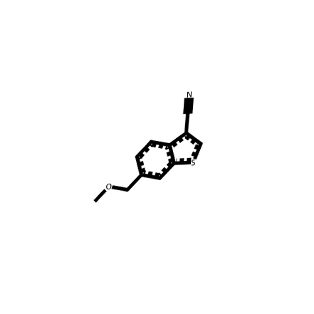 COCc1ccc2c(C#N)csc2c1